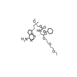 CCOCCOCCOC(=O)[C@H](C)NP(=O)(OC[C@](C)(CCc1ccc2c(N)ncnn12)OC)Oc1ccccc1